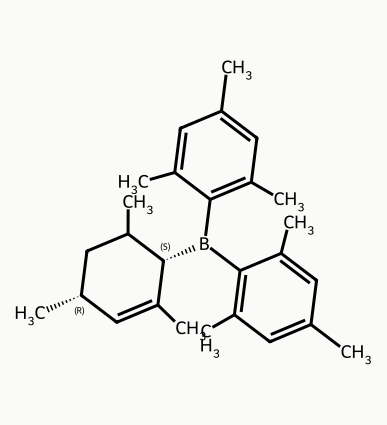 CC1=C[C@H](C)CC(C)[C@@H]1B(c1c(C)cc(C)cc1C)c1c(C)cc(C)cc1C